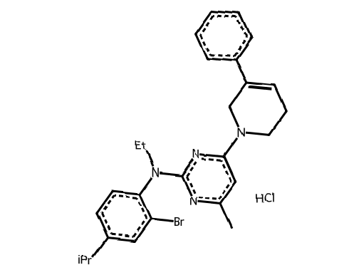 CCN(c1nc(C)cc(N2CCC=C(c3ccccc3)C2)n1)c1ccc(C(C)C)cc1Br.Cl